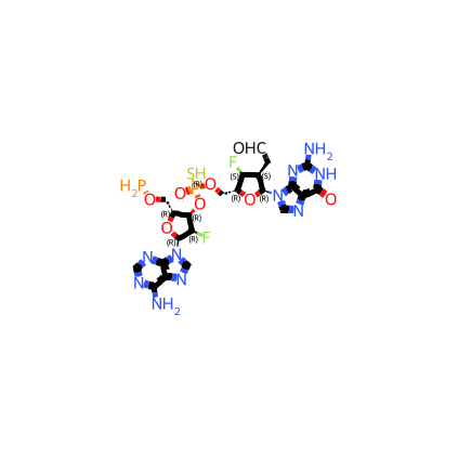 Nc1nc2c(ncn2[C@@H]2O[C@H](CO[P@@](=O)(S)O[C@H]3[C@@H](F)[C@H](n4cnc5c(N)ncnc54)O[C@@H]3COP)[C@@H](F)[C@H]2CC=O)c(=O)[nH]1